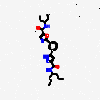 CCCC(CCC)NC(=O)c1cc(-c2cccc(-c3ncc(C(=O)NC(CC)CC)o3)c2)[nH]n1